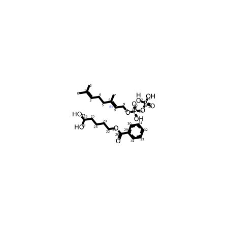 CC(C)=CCC/C(C)=C/COP(=O)(O)OP(=O)(O)O.O=C(OCCCCC(O)O)c1ccccc1